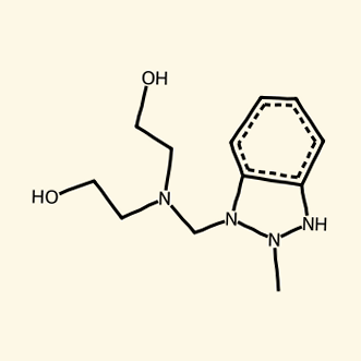 CN1Nc2ccccc2N1CN(CCO)CCO